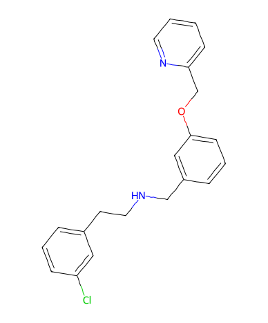 Clc1cccc(CCNCc2cccc(OCc3ccccn3)c2)c1